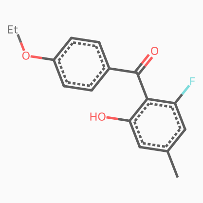 CCOc1ccc(C(=O)c2c(O)cc(C)cc2F)cc1